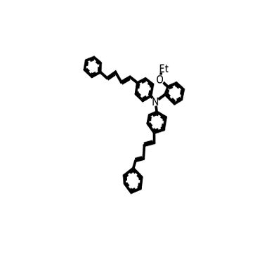 CCOc1ccccc1N(c1ccc(/C=C/C=C/c2ccccc2)cc1)c1ccc(/C=C/C=C/c2ccccc2)cc1